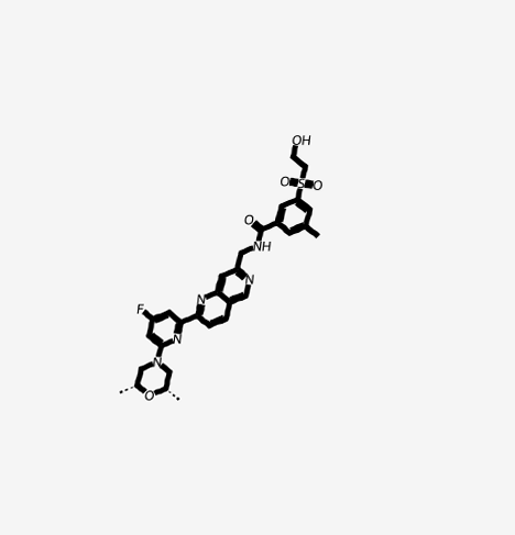 Cc1cc(C(=O)NCc2cc3nc(-c4cc(F)cc(N5C[C@@H](C)O[C@@H](C)C5)n4)ccc3cn2)cc(S(=O)(=O)CCO)c1